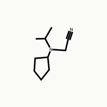 CC(C)N(CC#N)C1CCCC1